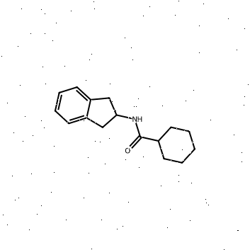 O=C(NC1Cc2ccccc2C1)C1CCCCC1